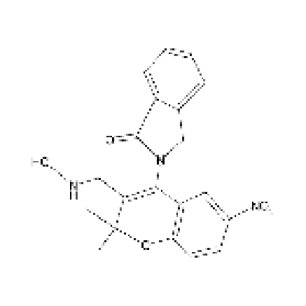 CC1(C)Oc2ccc([N+](=O)[O-])cc2C(N2Cc3ccccc3C2=O)=C1CNO